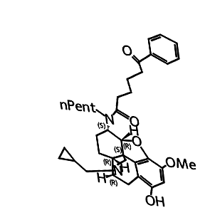 CCCCCN(C(=O)CCCCC(=O)c1ccccc1)[C@H]1CC[C@H]2[C@H]3Cc4c(O)cc(OC)c5c4[C@@]2(CCN3CC2CC2)[C@H]1O5